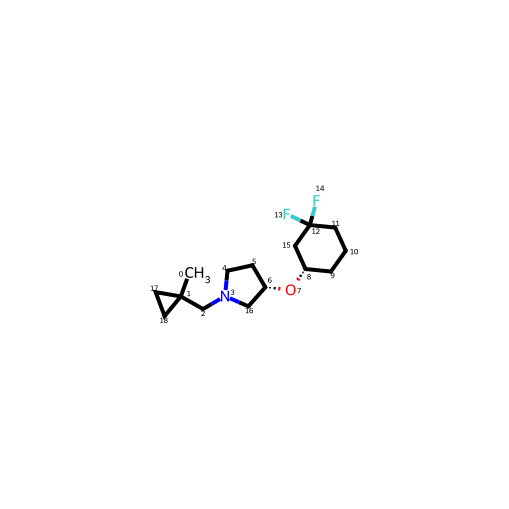 CC1(CN2CC[C@H](O[C@H]3CCCC(F)(F)C3)C2)CC1